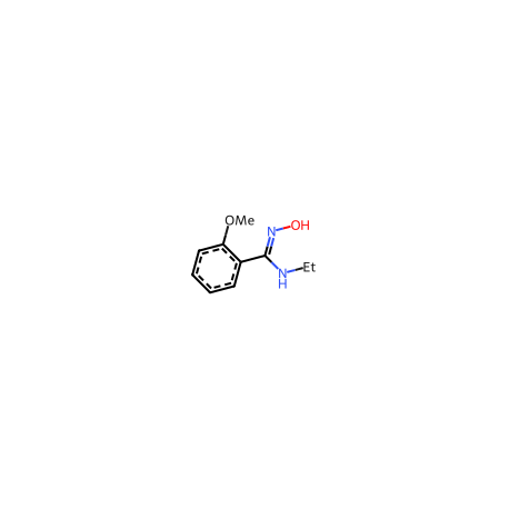 CCN/C(=N\O)c1ccccc1OC